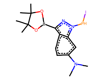 CN(C)c1ccc2c(B3OC(C)(C)C(C)(C)O3)nn(PI)c2c1